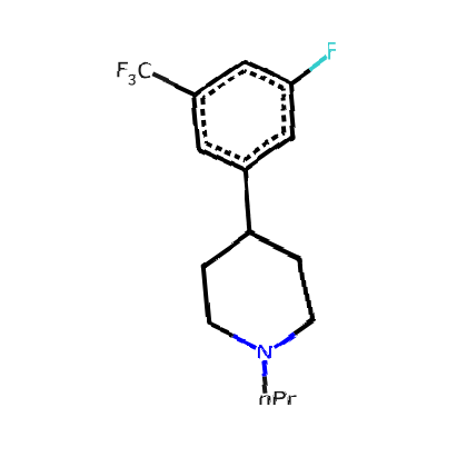 CCCN1CCC(c2cc(F)cc(C(F)(F)F)c2)CC1